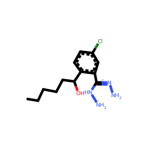 CCCCCC(O)c1ccc(Cl)cc1/C(=N/N)NN